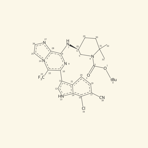 CC(C)(C)OC(=O)N1C[C@@H](Nc2nc(-c3c[nH]c4c(Cl)c(C#N)ccc34)c(C(F)(F)F)n3ccnc23)CCC1(C)C